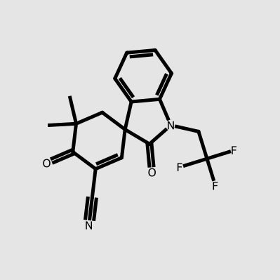 CC1(C)CC2(C=C(C#N)C1=O)C(=O)N(CC(F)(F)F)c1ccccc12